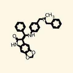 CN(Cc1ccccc1)Cc1ccc(NC(=C2C(=O)Nc3cc4c(cc32)OCO4)c2ccccc2)cc1